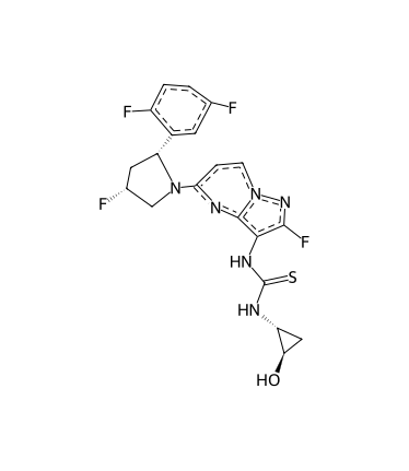 O[C@@H]1C[C@H]1NC(=S)Nc1c(F)nn2ccc(N3C[C@H](F)C[C@@H]3c3cc(F)ccc3F)nc12